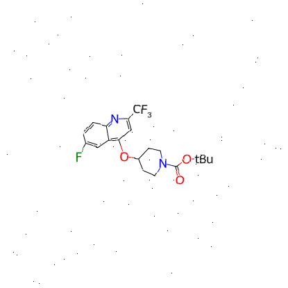 CC(C)(C)OC(=O)N1CCC(Oc2cc(C(F)(F)F)nc3ccc(F)cc23)CC1